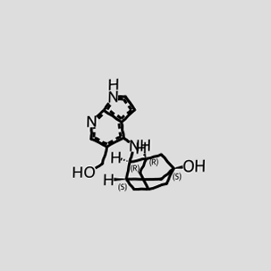 OCc1cnc2[nH]ccc2c1N[C@H]1[C@@H]2CC3C[C@H]1C[C@@](O)(C3)C2